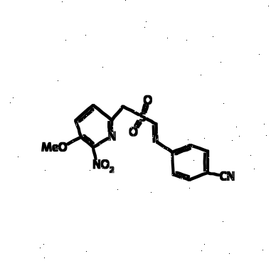 COc1ccc(CS(=O)(=O)C=Cc2ccc(C#N)cc2)nc1[N+](=O)[O-]